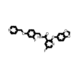 O=C(NCc1ccc(OCc2ccncc2)cc1F)c1cc(F)cnc1Oc1ccc2c(c1)OCO2